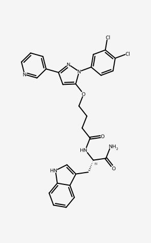 NC(=O)[C@H](Cc1c[nH]c2ccccc12)NC(=O)CCCOc1cc(-c2cccnc2)nn1-c1ccc(Cl)c(Cl)c1